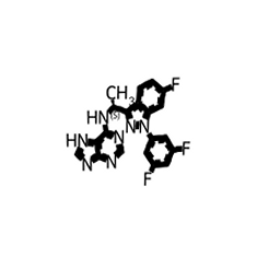 C[C@H](Nc1ncnc2nc[nH]c12)c1nn(-c2cc(F)cc(F)c2)c2cc(F)ccc12